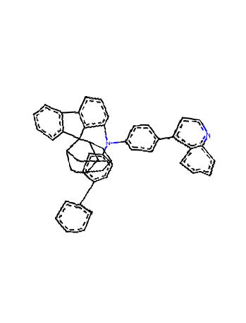 c1ccc(-c2ccc(N(c3ccc(-c4ccnc5ccccc45)cc3)c3cccc4c3C3(c5ccccc5-4)C4CC5CC(C4)CC3C5)cc2)cc1